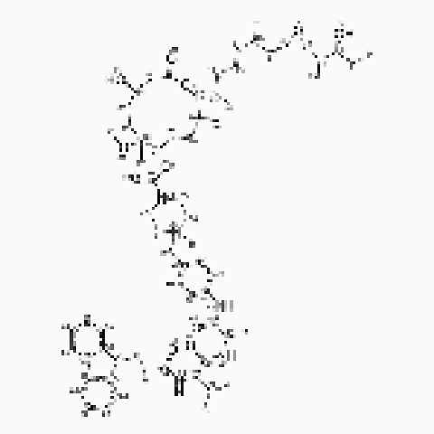 CC[C@H](O)[C@@H](C)[C@H]1O[C@@H]1CC(C)/C=C/C=C(\C)[C@H]1OC(=O)C[C@H](O)CC[C@@](C)(OC)[C@@H](OC(=O)N2CC[N+](C)(Cc3ccc(NC(=O)C(C)NC(=O)C(NC(=O)OCC4c5ccccc5-c5ccccc54)C(C)C)cc3)CC2)/C=C/[C@@H]1C